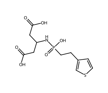 O=C(O)CC(CC(=O)O)NP(=O)(O)CCc1ccsc1